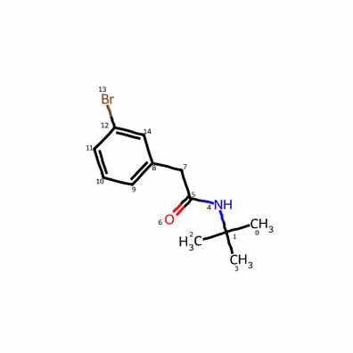 CC(C)(C)NC(=O)Cc1cccc(Br)c1